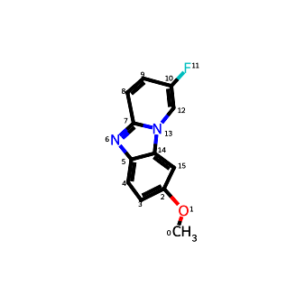 COc1ccc2nc3ccc(F)cn3c2c1